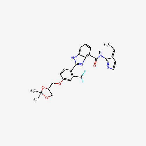 C/C=C1/C=CN=C1NC(=O)c1cccc2[nH]c(-c3ccc(OC[C@H]4COC(C)(C)O4)cc3C(F)F)nc12